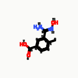 Cc1ccc(C(=O)O)cc1C(N)=NO